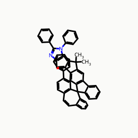 CC1(C)c2ccccc2-c2cc3c(cc21)-c1ccccc1C31c2ccccc2C=Cc2ccc(-c3ccc4c(c3)nc(-c3ccccc3)n4-c3ccccc3)cc21